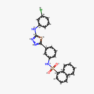 O=S(=O)(Nc1cccc(-c2nnc(Nc3cccc(Br)c3)s2)c1)c1cccc2ccccc12